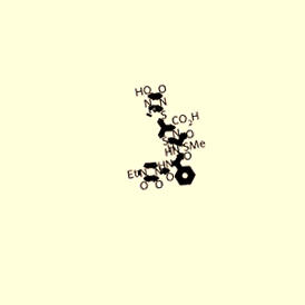 CCN1CCN(C(=O)NC(C(=O)N[C@]2(SC)C(=O)N3C(C(=O)O)=C(CSc4nc(=O)c(O)nn4C)CS[C@@H]32)c2ccccc2)C(=O)C1=O